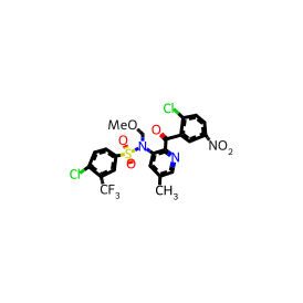 COCN(c1cc(C)cnc1C(=O)c1cc([N+](=O)[O-])ccc1Cl)S(=O)(=O)c1ccc(Cl)c(C(F)(F)F)c1